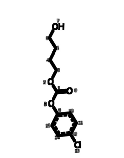 O=C(OCCCCO)Oc1ccc(Cl)cc1